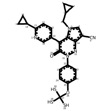 N#Cc1cn(CC2CC2)c2c(-c3ccc(C4CC4)nc3)c(=O)n(-c3ccc(OC(S)(S)S)cc3)nc12